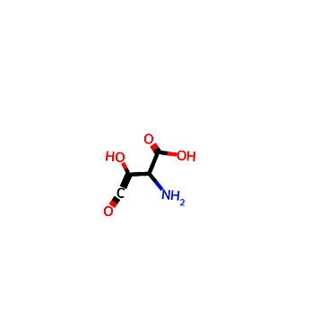 NC(C(=O)O)C(O)=C=O